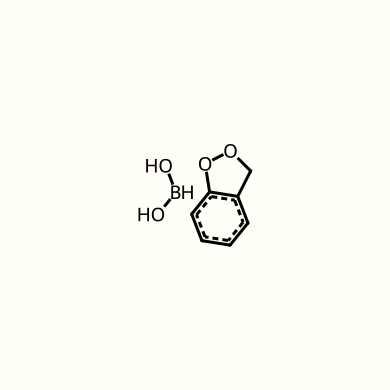 OBO.c1ccc2c(c1)COO2